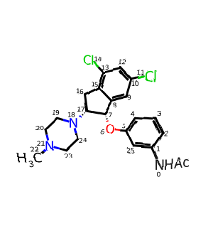 CC(=O)Nc1cccc(O[C@H]2c3cc(Cl)cc(Cl)c3C[C@H]2N2CCN(C)CC2)c1